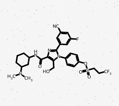 CN(C)C1CCCC(NC(=O)c2nc(-c3cc(F)cc(C#N)c3)n(-c3ccc(OS(=O)(=O)CCC(F)(F)F)cc3)c2CO)C1